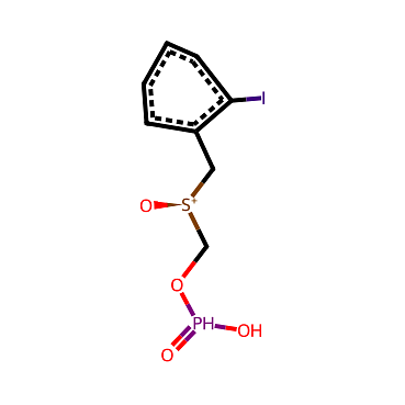 O=[PH](O)OC[S@@+]([O-])Cc1ccccc1I